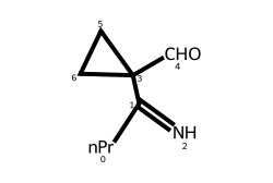 C[CH]CC(=N)C1(C=O)CC1